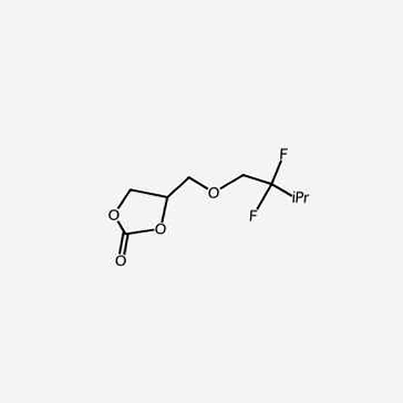 CC(C)C(F)(F)COCC1COC(=O)O1